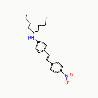 CCCCC(CCCC)Nc1ccc(/C=C/c2ccc([N+](=O)[O-])cc2)cc1